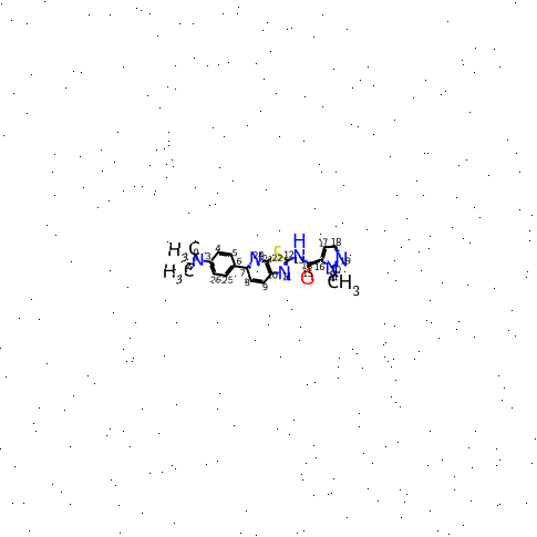 CN(C)c1ccc(-c2ccc3nc(NC(=O)c4ccnn4C)sc3n2)cc1